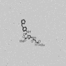 CC(C)(C)OC(=O)NCC(=O)NC1C[C@@H](C(=O)Nc2ccc(Cc3ccccc3)cc2)N(C(=O)OC(C)(C)C)C1